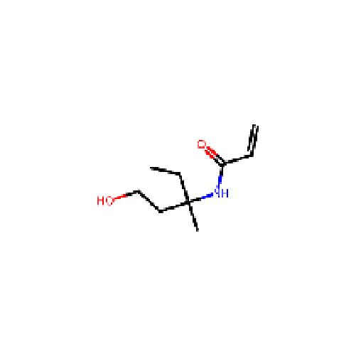 C=CC(=O)NC(C)(CC)CCO